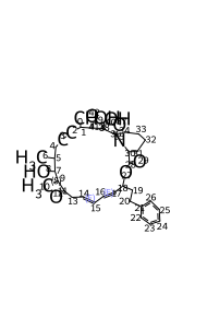 CC1CCCC(C)C(O)[C@H](C)C(=O)C/C=C/C=C/C(CCc2ccccc2)OC(=O)C2CCCCN2C(=O)C(O)(O)C1=O